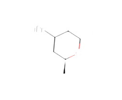 CC(C)C1C[C@H](C)O[C@@H](C)C1